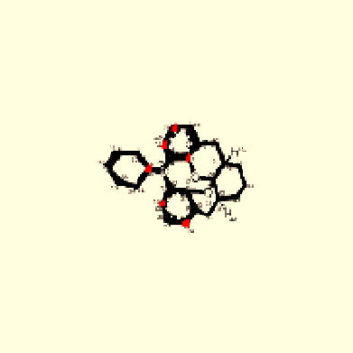 c1cc2c(c(P(C3CCCCC3)C3CCCCC3)c1)OC13Oc4c(cccc4P(C4CCCCC4)C4CCCCC4)C[C@@H]1CCC[C@H]3C2